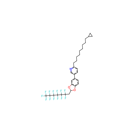 FC(F)(F)C(F)(F)C(F)(F)C(F)(F)C(F)(F)C(F)(F)CC1Oc2ccc(-c3ccc(CCCCCCCCCC4CC4)nc3)cc2O1